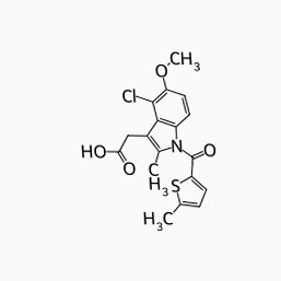 COc1ccc2c(c1Cl)c(CC(=O)O)c(C)n2C(=O)c1ccc(C)s1